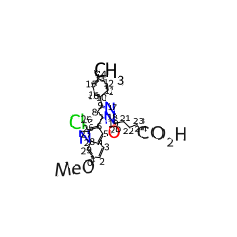 COc1ccc2cc(C3CC(c4ccc(C)cc4)=NN3C(=O)CCCC(=O)O)c(Cl)nc2c1